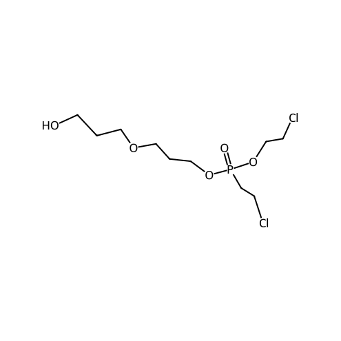 O=P(CCCl)(OCCCl)OCCCOCCCO